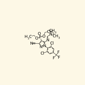 CCOP(=O)(OCC)c1c(C#N)nn(-c2c(Cl)cc(C(F)(F)F)cc2Cl)c1/N=C/N(C)C